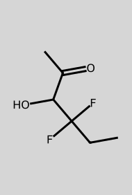 CCC(F)(F)C(O)C(C)=O